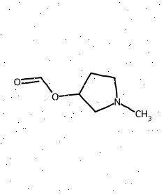 CN1CCC(OC=O)C1